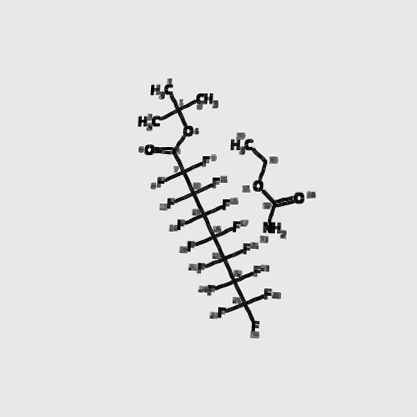 CC(C)(C)OC(=O)C(F)(F)C(F)(F)C(F)(F)C(F)(F)C(F)(F)C(F)(F)C(F)(F)F.CCOC(N)=O